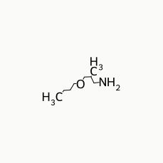 CCCCOCC(C)CN